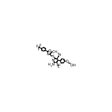 [C-]#[N+]c1c(N)nc(SCc2nc(-c3ccc(C(F)(F)F)cc3)oc2C)c(C#N)c1-c1ccc(OCCO)cc1